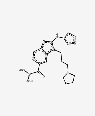 CCCCN(CCCC)C(=O)c1ccc2nc(Nc3ccsc3)n(CCCN3CCCC3)c2c1